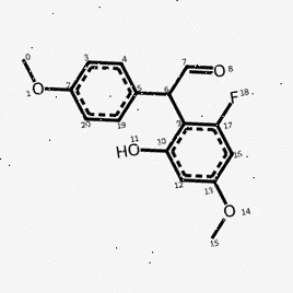 COc1ccc(C(C=O)c2c(O)cc(OC)cc2F)cc1